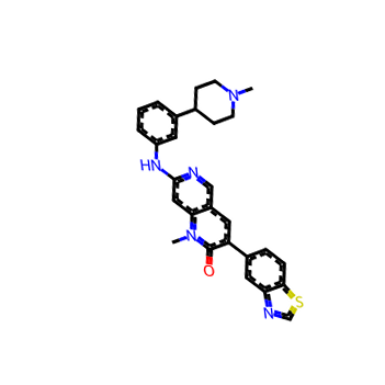 CN1CCC(c2cccc(Nc3cc4c(cn3)cc(-c3ccc5scnc5c3)c(=O)n4C)c2)CC1